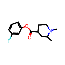 CC1CC(C(=O)Oc2cccc(F)c2)CCN1C